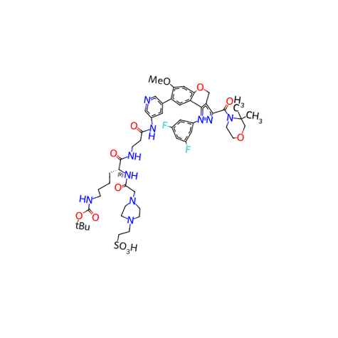 COc1cc2c(cc1-c1cncc(NC(=O)CCNC(=O)[C@@H](CCCCNC(=O)OC(C)(C)C)NC(=O)CN3CCN(CCS(=O)(=O)O)CC3)c1)-c1c(c(C(=O)N3CCOCC3(C)C)nn1-c1cc(F)cc(F)c1)CO2